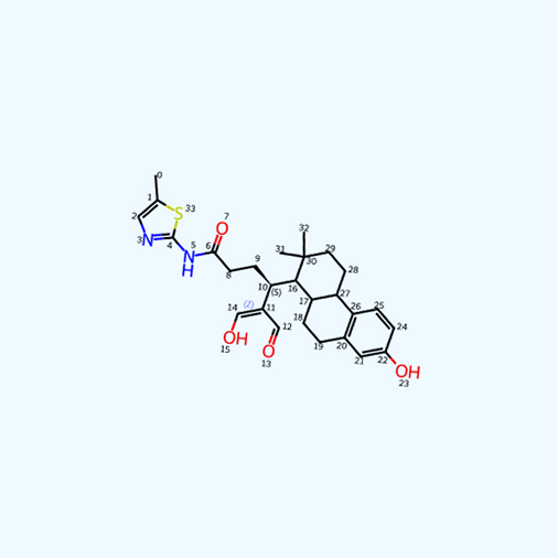 Cc1cnc(NC(=O)CC[C@H](/C(C=O)=C/O)C2C3CCc4cc(O)ccc4C3CCC2(C)C)s1